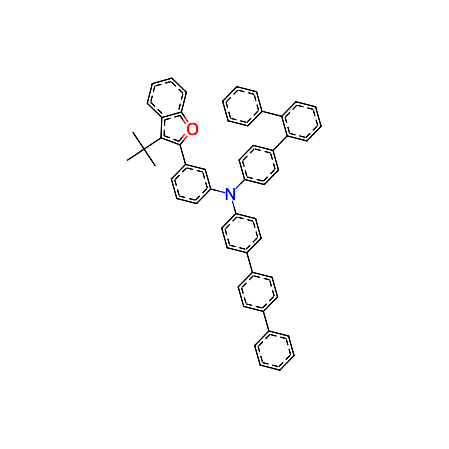 CC(C)(C)c1c(-c2cccc(N(c3ccc(-c4ccc(-c5ccccc5)cc4)cc3)c3ccc(-c4ccccc4-c4ccccc4)cc3)c2)oc2ccccc12